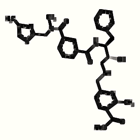 COC(=O)c1ccc(CNC[C@@H](O)[C@H](Cc2ccccc2)NC(=O)c2cccc(C(=O)N(C)Cc3nc(C)cs3)c2)nc1C